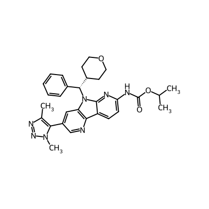 Cc1nnn(C)c1-c1cnc2c3ccc(NC(=O)OC(C)C)nc3n([C@H](c3ccccc3)C3CCOCC3)c2c1